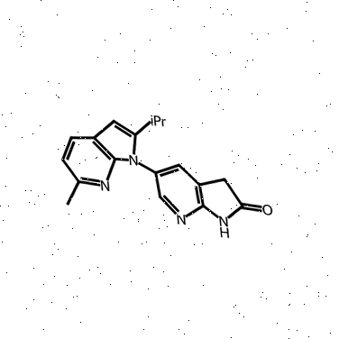 Cc1ccc2cc(C(C)C)n(-c3cnc4c(c3)CC(=O)N4)c2n1